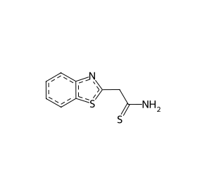 NC(=S)Cc1nc2ccccc2s1